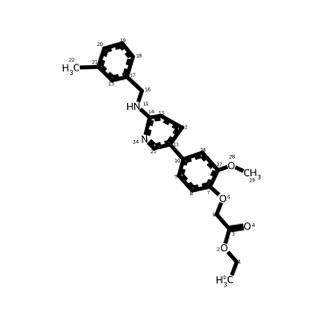 CCOC(=O)COc1ccc(-c2ccc(NCc3cccc(C)c3)nc2)cc1OC